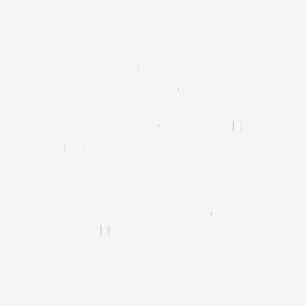 CC1=C(C)C(C)(C)[C]([Hf+2])=C1C.[I-].[I-]